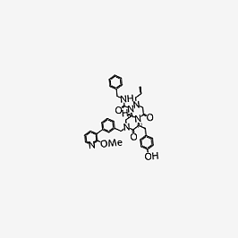 C=CCN1CC(=O)N2[C@@H](Cc3ccc(O)cc3)C(=O)N(Cc3cccc(-c4cccnc4OC)c3)C[C@@H]2N1C(=O)NCc1ccccc1